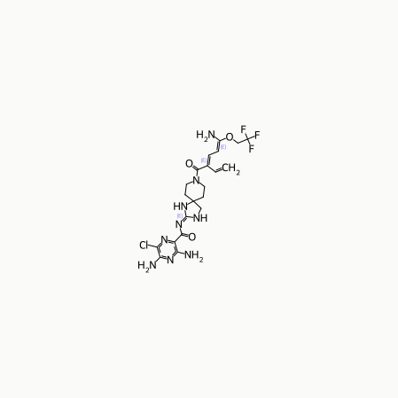 C=C/C(=C\C=C(/N)OCC(F)(F)F)C(=O)N1CCC2(CC1)CN/C(=N\C(=O)c1nc(Cl)c(N)nc1N)N2